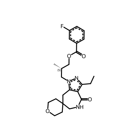 CCc1nn(C[C@H](C)COC(=O)c2cccc(F)c2)c2c1C(=O)NCC1(CCOCC1)C2